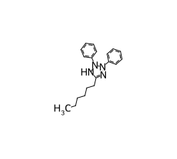 CCCCCCC1=NN(c2ccccc2)N(c2ccccc2)N1